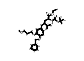 CCOC(=O)C(CC(Cc1ccc(OCc2ccccc2)c(OCCCOC)c1)C(C)C)NC(=O)OC(C)(C)C